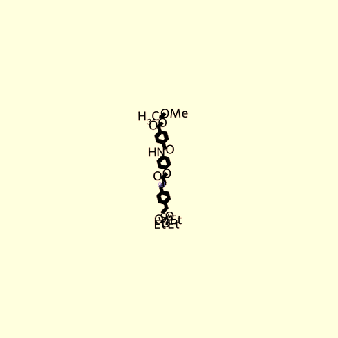 CCO[Si](CCc1ccc(/C=C/C(=O)Oc2ccc(NC(=O)c3ccc(C(=O)OC(C)OC)cc3)cc2)cc1)(OCC)OCC